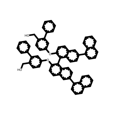 OCc1ccc(Oc2ccc3cc(-c4cccc5ccccc45)ccc3c2-c2c(Oc3ccc(CO)c(-c4ccccc4)c3)ccc3cc(-c4cccc5ccccc45)ccc23)cc1-c1ccccc1